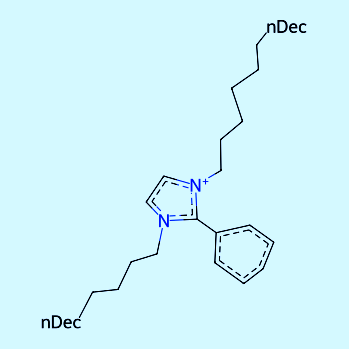 CCCCCCCCCCCCCCCC[n+]1ccn(CCCCCCCCCCCCCC)c1-c1ccccc1